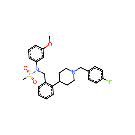 COc1cccc(N(Cc2ccccc2C2CCN(Cc3ccc(F)cc3)CC2)S(C)(=O)=O)c1